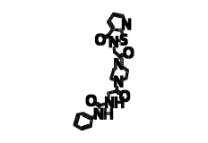 O=C(NCC(=O)N1CCN(C(=O)Cn2sc3ncccc3c2=O)CC1)Nc1ccccc1